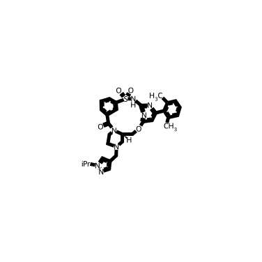 Cc1cccc(C)c1-c1cc2nc(n1)NS(=O)(=O)c1cccc(c1)C(=O)N1CCN(Cc3cnn(C(C)C)c3)C[C@@H]1CO2